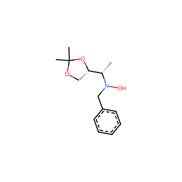 C[C@@H]([C@@H]1COC(C)(C)O1)N(O)Cc1ccccc1